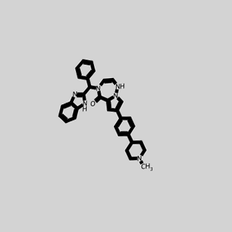 CN1CCC(c2ccc(-c3cc4n(c3)NC=CN(C(c3ccccc3)c3nc5ccccc5[nH]3)C4=O)cc2)CC1